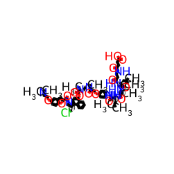 CC(C)C[C@H](NC(=O)CCNC(=O)CCC(=O)O)C(=O)N[C@@H](C)C(=O)N[C@@H](CC(C)C)C(=O)Nc1ccc(OCC(=O)N(C)CCN(C)C(=O)Oc2cc3c(c4ccccc24)[C@H](CCl)CN3C(=O)c2cc3cc(OCCN(C)C)ccc3o2)cc1